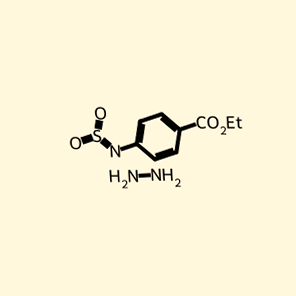 CCOC(=O)c1ccc(N=S(=O)=O)cc1.NN